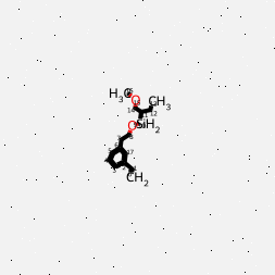 C=Cc1cccc(CCO[SiH2]C(CC)COC)c1